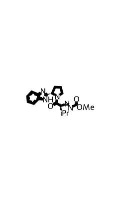 COC(=O)N=N[C@H](C(=O)N1CCC[C@H]1c1nc2ccccc2[nH]1)C(C)C